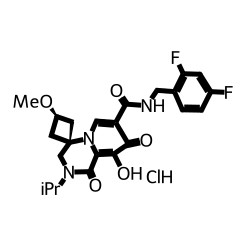 CO[C@H]1C[C@@]2(CN(C(C)C)C(=O)c3c(O)c(=O)c(C(=O)NCc4ccc(F)cc4F)cn32)C1.Cl